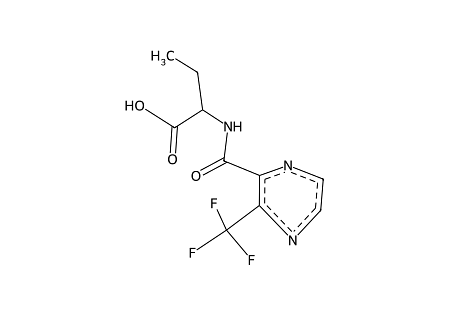 CCC(NC(=O)c1nccnc1C(F)(F)F)C(=O)O